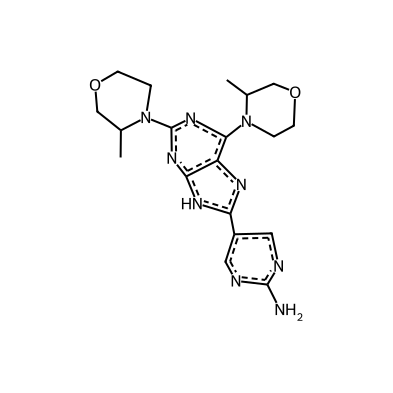 CC1COCCN1c1nc(N2CCOCC2C)c2nc(-c3cnc(N)nc3)[nH]c2n1